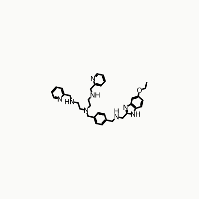 CCOc1ccc2[nH]c(CNCc3ccc(CN(CCNCc4ccccn4)CCNCc4ccccn4)cc3)nc2c1